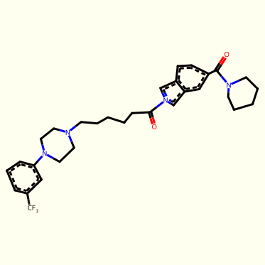 O=C(c1ccc2cn(C(=O)CCCCCN3CCN(c4cccc(C(F)(F)F)c4)CC3)cc2c1)N1CCCCC1